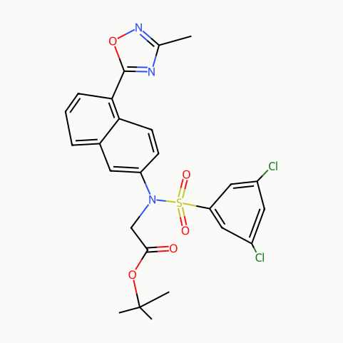 Cc1noc(-c2cccc3cc(N(CC(=O)OC(C)(C)C)S(=O)(=O)c4cc(Cl)cc(Cl)c4)ccc23)n1